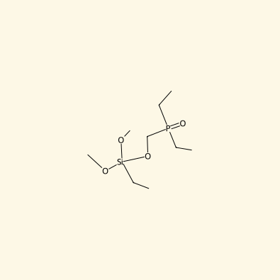 CC[Si](OC)(OC)OCP(=O)(CC)CC